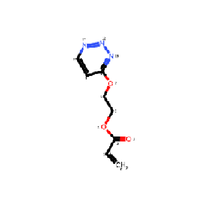 C=CC(=O)OCCOc1ccnnn1